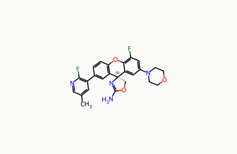 Cc1cnc(F)c(-c2ccc3c(c2)[C@@]2(COC(N)=N2)c2cc(N4CCOCC4)cc(F)c2O3)c1